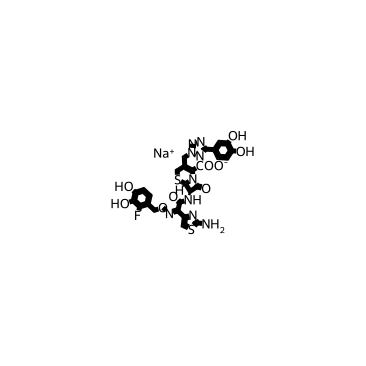 Nc1nc(/C(=N/OCc2ccc(O)c(O)c2F)C(=O)N[C@@H]2C(=O)N3C(C(=O)[O-])=C(Cn4nnc(-c5ccc(O)c(O)c5)n4)CS[C@H]23)cs1.[Na+]